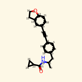 CC(Cc1ccc(C#Cc2ccc3c(c2)CCO3)cc1)NC(=O)C1CC1